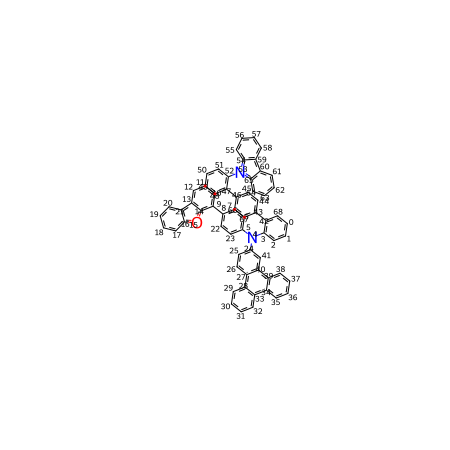 c1ccc(N(c2ccc(-c3cccc4c3oc3ccccc34)cc2)c2ccc3c4ccccc4c4ccccc4c3c2)c(-c2ccc(-c3ccccc3-n3c4ccccc4c4ccccc43)cc2)c1